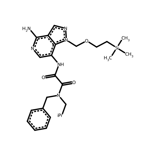 CC(C)CN(Cc1ccccc1)C(=O)C(=O)Nc1cnc(N)c2cnn(COCC[Si](C)(C)C)c12